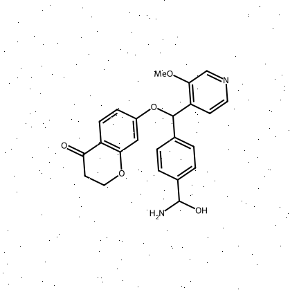 COc1cnccc1C(Oc1ccc2c(c1)OCCC2=O)c1ccc(C(N)O)cc1